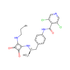 CC(C)CCNc1c(N[C@@H](Cc2ccc(NC(=O)c3c(Cl)cncc3Cl)cc2)C(=O)O)c(=O)c1=O